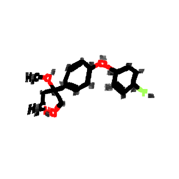 CCC(CO)(OC)c1ccc(Oc2ccc(F)cc2)cc1